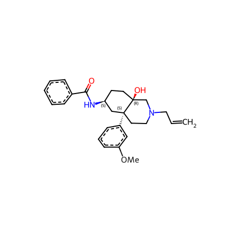 C=CCN1CC[C@@]2(c3cccc(OC)c3)C[C@@H](NC(=O)c3ccccc3)CC[C@]2(O)C1